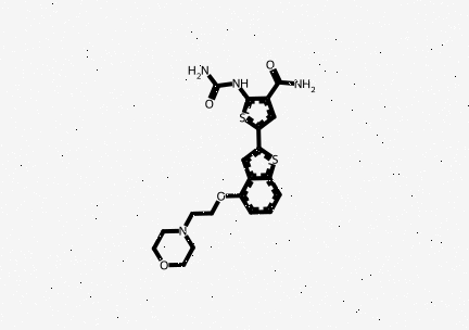 NC(=O)Nc1sc(-c2cc3c(OCCN4CCOCC4)cccc3s2)cc1C(N)=O